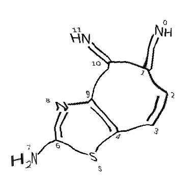 N=C1C=Cc2sc(N)nc2C1=N